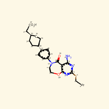 CC(C)CSc1nc(N)c2c(n1)OCCN(c1ccc([C@H]3CC[C@H](CC(=O)O)CC3)cc1)C2=O